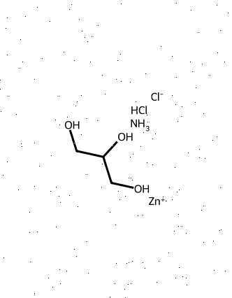 Cl.N.OCC(O)CO.[Cl-].[Zn+]